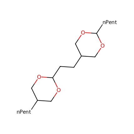 CCCCCC1COC(CCC2COC(CCCCC)OC2)OC1